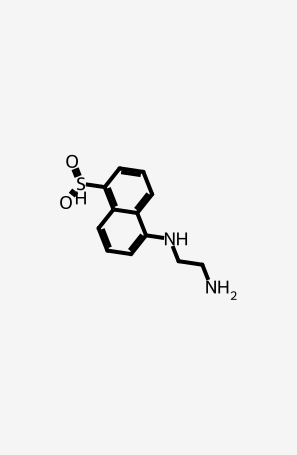 NCCNc1cccc2c([SH](=O)=O)cccc12